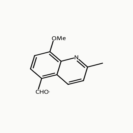 COc1ccc([C]=O)c2ccc(C)nc12